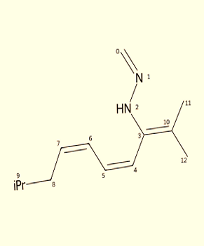 C=NNC(/C=C\C=C/CC(C)C)=C(C)C